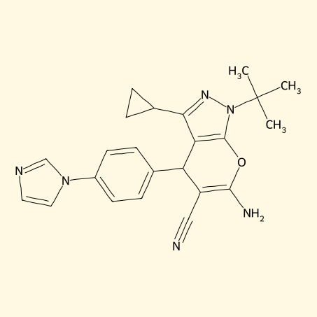 CC(C)(C)n1nc(C2CC2)c2c1OC(N)=C(C#N)C2c1ccc(-n2ccnc2)cc1